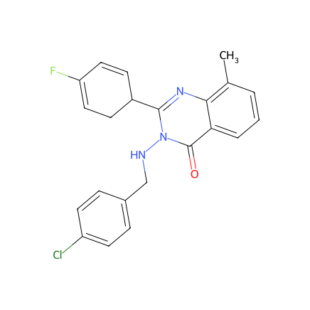 Cc1cccc2c(=O)n(NCc3ccc(Cl)cc3)c(C3C=CC(F)=CC3)nc12